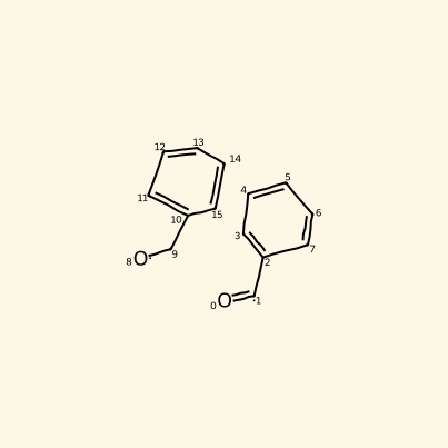 O=[C]c1ccccc1.[O]Cc1ccccc1